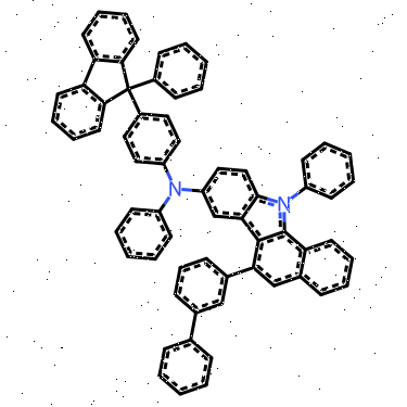 c1ccc(-c2cccc(-c3cc4ccccc4c4c3c3cc(N(c5ccccc5)c5ccc(C6(c7ccccc7)c7ccccc7-c7ccccc76)cc5)ccc3n4-c3ccccc3)c2)cc1